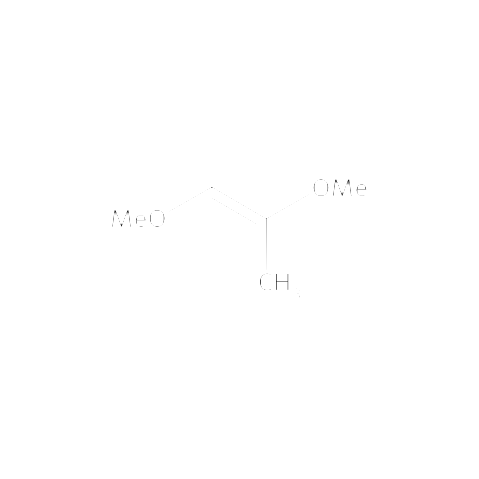 COC=C(C)OC